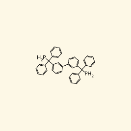 PC(c1ccccc1)(c1ccccc1)c1cccc(-c2cccc(C(P)(c3ccccc3)c3ccccc3)c2)c1